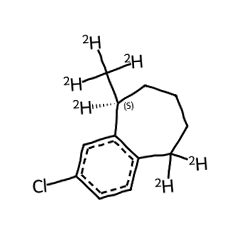 [2H]C1([2H])CCC[C@]([2H])(C([2H])([2H])[2H])c2cc(Cl)ccc21